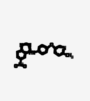 Cc1ccc(Oc2ccc(Nc3ncnc4ccc([N+](=O)[O-])cc34)cc2)cn1